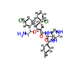 NCCOc1c(C(=O)NC(=O)C2(NCc3ccc(F)cc3)CCNCC2)sc(-c2ccccc2Cl)c1-c1ccc(Cl)cc1